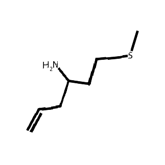 C=CCC(N)CCSC